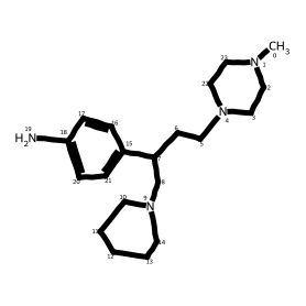 CN1CCN(CCC(CN2CCCCC2)c2ccc(N)cc2)CC1